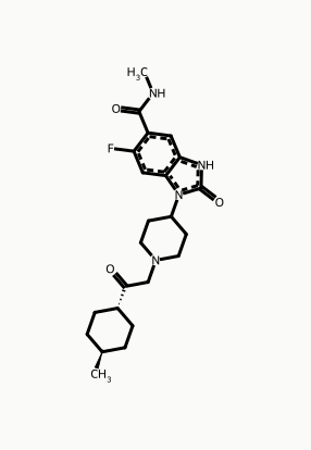 CNC(=O)c1cc2[nH]c(=O)n(C3CCN(CC(=O)[C@H]4CC[C@H](C)CC4)CC3)c2cc1F